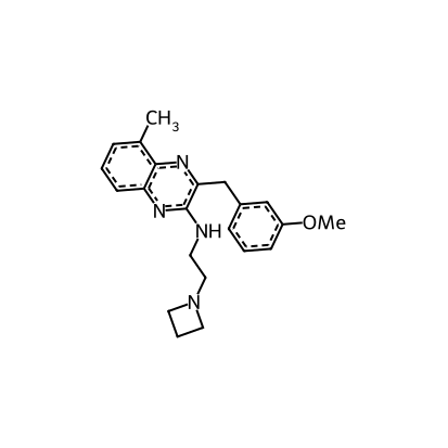 COc1cccc(Cc2nc3c(C)cccc3nc2NCCN2CCC2)c1